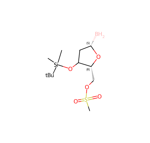 B[C@H]1CC(O[Si](C)(C)C(C)(C)C)[C@@H](COS(C)(=O)=O)O1